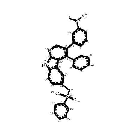 CC(=O)N(C)c1cccc(-c2cnc3[nH]c4ccc(CS(=O)(=O)c5ccccc5)cc4c3c2-c2ccccc2)c1